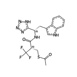 CC(=O)SC[C@@H](C(=O)N[C@@H](Cc1c[nH]c2ccccc12)c1nnn[nH]1)C(F)(F)F